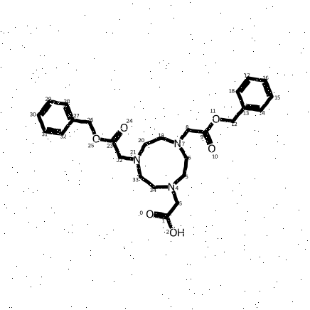 O=C(O)CN1CCN(CC(=O)OCc2ccccc2)CCN(CC(=O)OCc2ccccc2)CC1